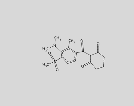 Cc1c(C(=O)C2C(=O)CCCC2=O)ccc(S(C)(=O)=O)c1N(C)C